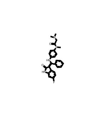 CN(C)CC(=O)N(C)c1ccc(N/C(=C2\C(=O)Nc3cc(F)ccc32)c2ccccc2)cc1